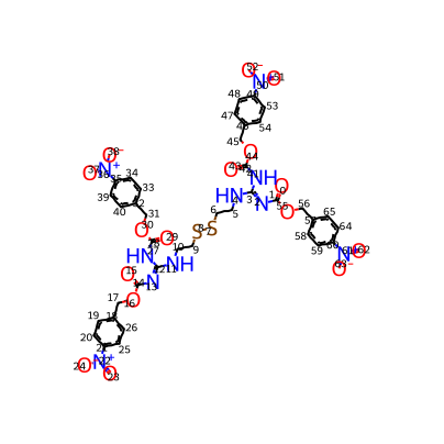 O=C(N=C(NCCSSCCNC(=NC(=O)OCc1ccc([N+](=O)[O-])cc1)NC(=O)OCc1ccc([N+](=O)[O-])cc1)NC(=O)OCc1ccc([N+](=O)[O-])cc1)OCc1ccc([N+](=O)[O-])cc1